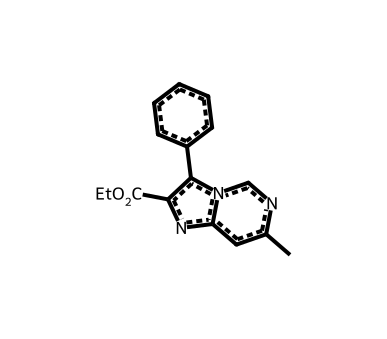 CCOC(=O)c1nc2cc(C)ncn2c1-c1ccccc1